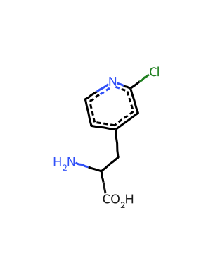 NC(Cc1ccnc(Cl)c1)C(=O)O